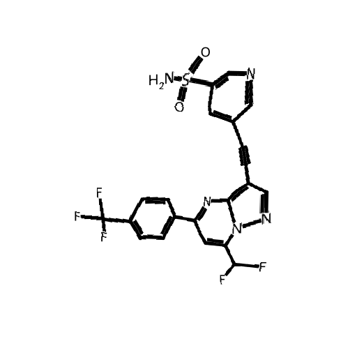 NS(=O)(=O)c1cncc(C#Cc2cnn3c(C(F)F)cc(-c4ccc(C(F)(F)F)cc4)nc23)c1